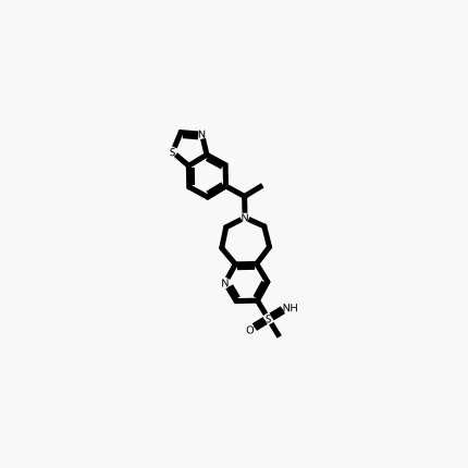 CC(c1ccc2scnc2c1)N1CCc2cc(S(C)(=N)=O)cnc2CC1